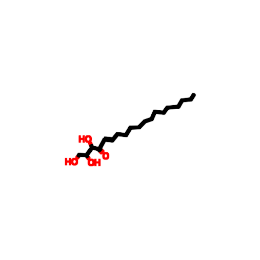 CCCCCCCCCCCCCC=CC(=O)C(O)C(O)CO